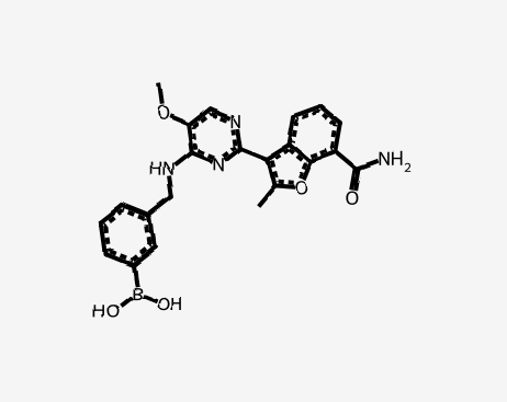 COc1cnc(-c2c(C)oc3c(C(N)=O)cccc23)nc1NCc1cccc(B(O)O)c1